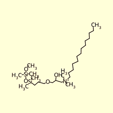 CCCCCCCCCCCCCC[N+](C)(C)CC(O)COCCC[Si](C)(C)O[Si](C)(C)OC